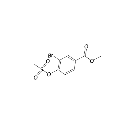 COC(=O)c1ccc(OS(C)(=O)=O)c(Br)c1